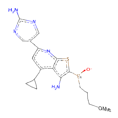 COCCC[S@+]([O-])c1sc2nc(-c3cnc(N)nc3)cc(C3CC3)c2c1N